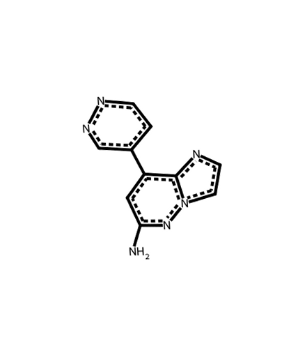 Nc1cc(-c2ccnnc2)c2nccn2n1